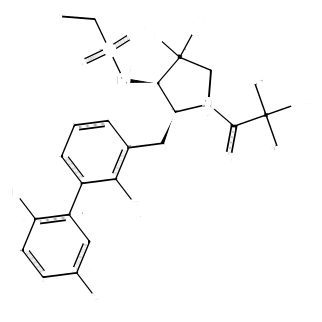 CCS(=O)(=O)N[C@@H]1[C@H](Cc2cccc(-c3cc(F)ccc3F)c2F)N(C(=O)C(C)(C)O)CC1(F)F